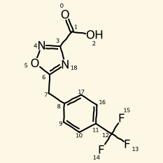 O=C(O)c1noc(Cc2ccc(C(F)(F)F)cc2)n1